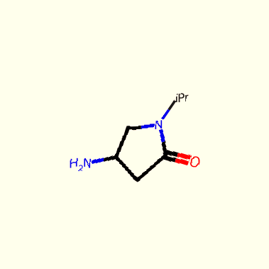 CC(C)N1CC(N)CC1=O